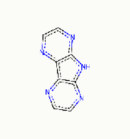 c1cnc2c(n1)[nH]c1nccnc12